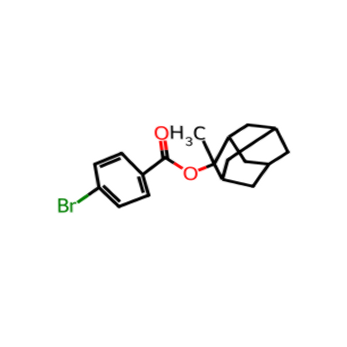 CC1(OC(=O)c2ccc(Br)cc2)C2CC3CC(C2)CC1C3